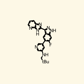 CC(C)(C)CNc1cncc(-c2cc3c(-c4nc5cccnc5[nH]4)n[nH]c3cc2F)c1